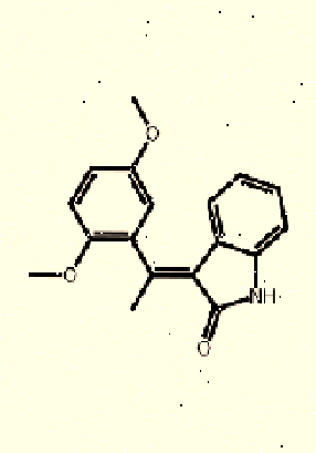 COc1ccc(OC)c(/C(C)=C2/C(=O)Nc3ccccc32)c1